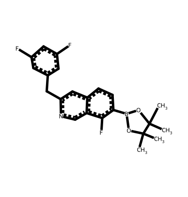 CC1(C)OB(c2ccc3cc(Cc4cc(F)cc(F)c4)ncc3c2F)OC1(C)C